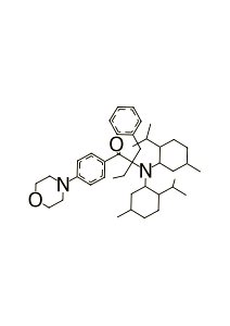 CCC(Cc1ccccc1)(C(=O)c1ccc(N2CCOCC2)cc1)N(C1CC(C)CCC1C(C)C)C1CC(C)CCC1C(C)C